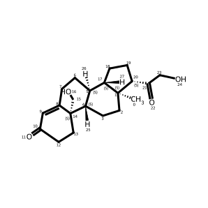 C[C@]12CC[C@H]3[C@@H](CCC4=CC(=O)CC[C@@]43CO)[C@@H]1CC[C@@H]2C(=O)CO